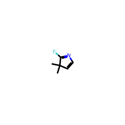 CC1(C)C=CN=C1F